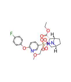 CCOC(=O)[C@@H]1[C@@H]2CC[C@H](CN1S(=O)(=O)c1ccc(Oc3ccc(F)cc3)nc1)N2C(=O)OCCOC